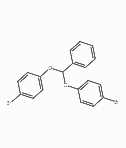 Brc1ccc(OC(Oc2ccc(Br)cc2)c2ccccc2)cc1